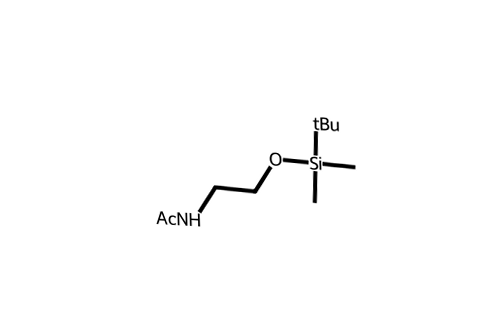 CC(=O)NCCO[Si](C)(C)C(C)(C)C